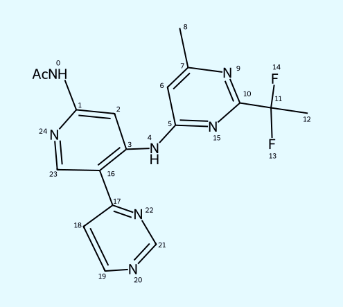 CC(=O)Nc1cc(Nc2cc(C)nc(C(C)(F)F)n2)c(-c2ccncn2)cn1